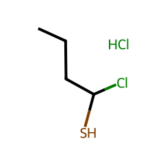 CCCC(S)Cl.Cl